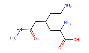 CNC(=O)CC(CCN)CC(N)C(=O)O